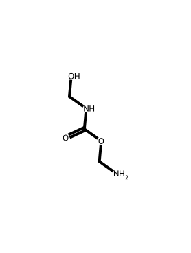 NCOC(=O)NCO